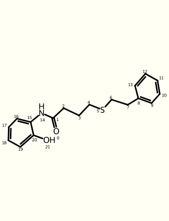 O=C(CCCSCCc1ccccc1)Nc1ccccc1O